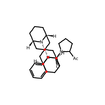 CC(=O)C1CCCN1C(=O)N(c1ccccc1)[C@H]1C[C@H]2CCC[C@@H](C1)N2[C@H]1C[C@@H]2CCC[C@@H](C2)C1